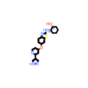 O[C@@H]1CCCC[C@H]1Nc1nc2ccc(Oc3ccnc(-c4cn[nH]c4)c3)cc2s1